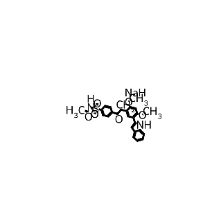 C=C(C(=O)c1ccc(S(=O)(=O)NC(C)=O)cc1)c1cc(-c2cc3ccccc3[nH]2)c(OC)cc1OC.[NaH]